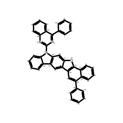 c1ccc(-c2nc(-n3c4ccccc4c4cc5c(cc43)oc3c4ccccc4c(-c4ccccc4)cc53)nc3ccccc23)cc1